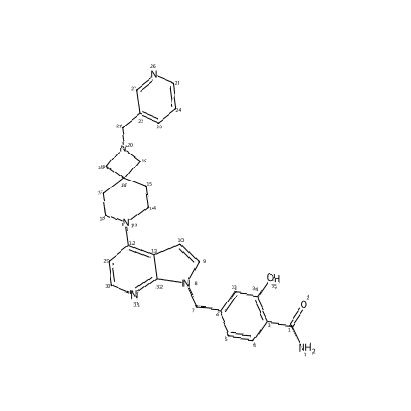 NC(=O)c1ccc(Cn2ccc3c(N4CCC5(CC4)CN(Cc4cccnc4)C5)ccnc32)cc1O